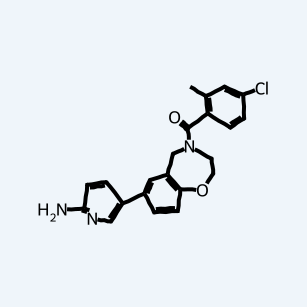 Cc1cc(Cl)ccc1C(=O)N1CCOc2ccc(-c3ccc(N)nc3)cc2C1